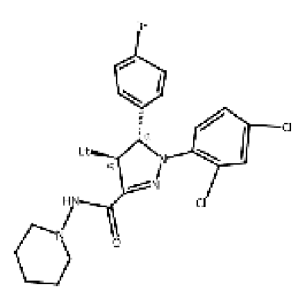 CC[C@@H]1C(C(=O)NN2CCCCC2)=NN(c2ccc(Cl)cc2Cl)[C@H]1c1ccc(Br)cc1